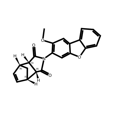 COc1cc2c(cc1N1C(=O)[C@@H]3[C@H](C1=O)[C@@H]1C=C[C@H]3C1)oc1ccccc12